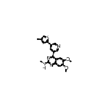 CNc1nc(-c2cncc(-c3cc(C)cs3)c2)c2cc(OC)c(OC)cc2n1